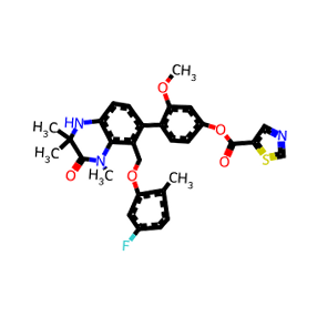 COc1cc(OC(=O)c2cncs2)ccc1-c1ccc2c(c1COc1cc(F)ccc1C)N(C)C(=O)C(C)(C)N2